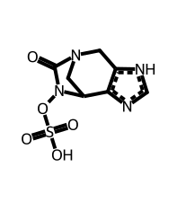 O=C1N2Cc3[nH]cnc3C(C2)N1OS(=O)(=O)O